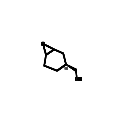 OC[C@H]1CCC2OC2C1